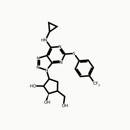 OCC1CC(n2nnc3c(NC4CC4)nc(Sc4ccc(C(F)(F)F)cc4)nc32)C(O)[C@@H]1O